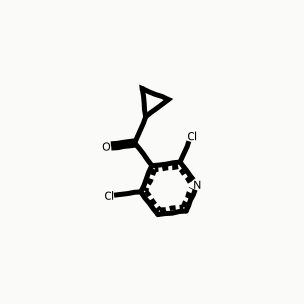 O=C(c1c(Cl)ccnc1Cl)C1CC1